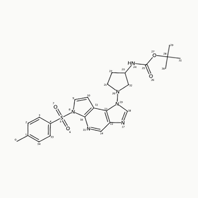 Cc1ccc(S(=O)(=O)n2ccc3c4c(cnc32)ncn4N2CCC(NC(=O)OC(C)(C)C)C2)cc1